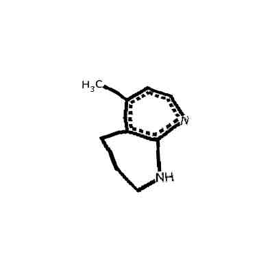 Cc1ccnc2c1CCCN2